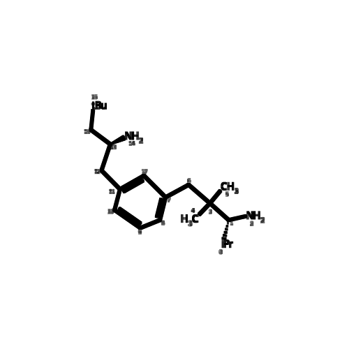 CC(C)[C@@H](N)C(C)(C)Cc1cccc(C[C@H](N)CC(C)(C)C)c1